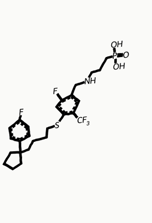 O=P(O)(O)CCCNCc1cc(C(F)(F)F)c(SCCCCC2(c3ccc(F)cc3)CCCC2)cc1F